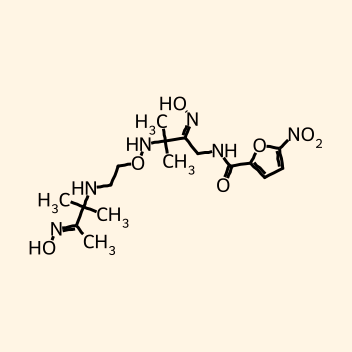 CC(=NO)C(C)(C)NCCONC(C)(C)C(CNC(=O)c1ccc([N+](=O)[O-])o1)=NO